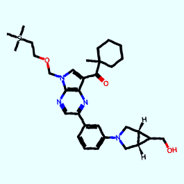 CC1(C(=O)c2cn(COCC[Si](C)(C)C)c3ncc(-c4cccc(N5C[C@@H]6C(CO)[C@@H]6C5)c4)nc23)CCCCC1